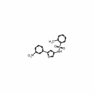 Cc1ccccc1S(=O)(=O)Nc1csc(-c2cccc([N+](=O)[O-])c2)c1